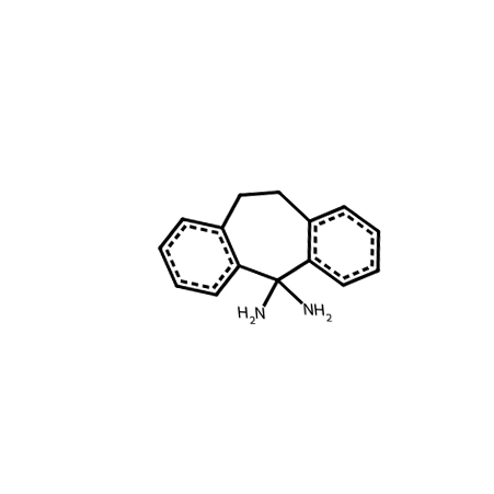 NC1(N)c2ccccc2CCc2ccccc21